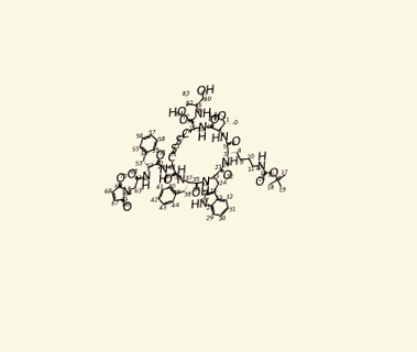 C[C@@H](O)[C@@H]1NC(=O)[C@H](CCCCNC(=O)OC(C)(C)C)NC(=O)[C@@H](Cc2c[nH]c3ccccc23)NC(=O)[C@H](Cc2ccccc2)NC(=O)[C@@H](NC(=O)[C@@H](Cc2ccccc2)NC(=O)CN2C(=O)C=CC2=O)CSSC[C@@H](C(=O)N[C@H](CO)[C@@H](C)O)NC1=O